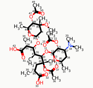 CO[C@]1(C)C[C@H](O[C@@H]([C@H](C)[C@@H](O[C@@H]2O[C@H](C)C[C@H](N(C)C)[C@H]2OC(C)=O)[C@@](C)(C[C@@H](C)C(=O)O)OC(C)=O)[C@@H](C)C(=O)O)O[C@@H](C)[C@@H]1OC(C)=O